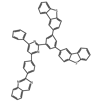 c1ccc(-c2cc(-c3ccc(-c4ncc5ccccc5n4)cc3)nc(-c3cc(-c4ccc5sc6ccccc6c5c4)cc(-c4ccc5sc6ccccc6c5c4)c3)n2)cc1